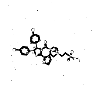 CCOc1ccsc1C1=N[C@@H](c2ccc(Cl)cc2)[C@@H](c2ccc(Cl)cc2)N1C(=O)N1CCN(CCS(C)(=O)=O)CC1